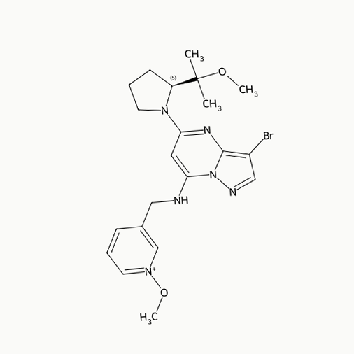 CO[n+]1cccc(CNc2cc(N3CCC[C@H]3C(C)(C)OC)nc3c(Br)cnn23)c1